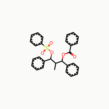 CC(C(OC(=O)c1ccccc1)c1ccccc1)C(OS(=O)(=O)c1ccccc1)c1ccccc1